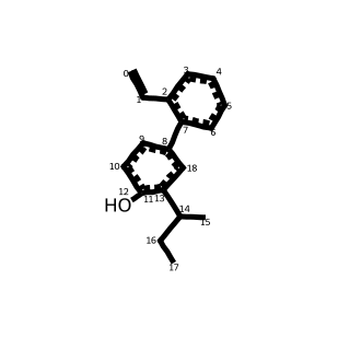 C=Cc1ccccc1-c1ccc(O)c(C(C)CC)c1